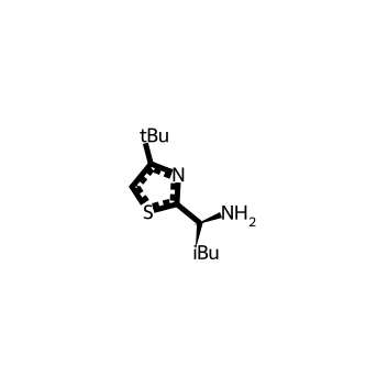 CC[C@H](C)[C@H](N)c1nc(C(C)(C)C)cs1